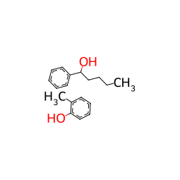 CCCCC(O)c1ccccc1.Cc1ccccc1O